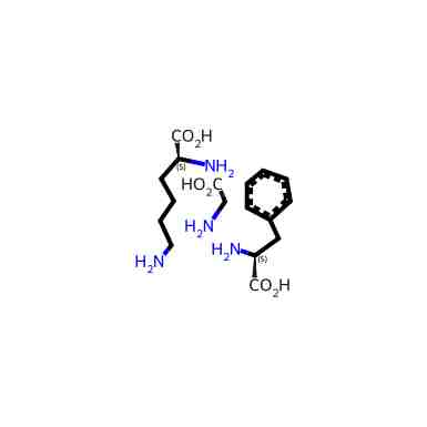 NCC(=O)O.NCCCC[C@H](N)C(=O)O.N[C@@H](Cc1ccccc1)C(=O)O